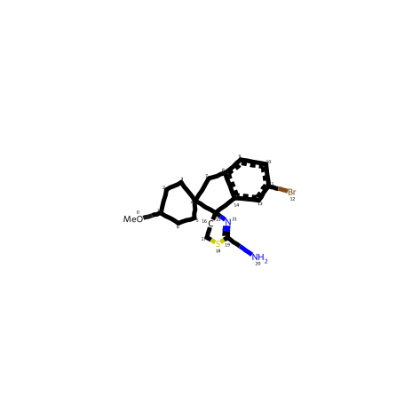 COC1CCC2(CC1)Cc1ccc(Br)cc1C21CCSC(N)=N1